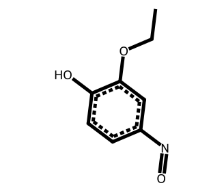 CCOc1cc(N=O)ccc1O